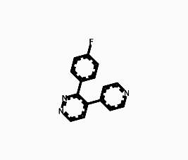 Fc1ccc(-c2nnccc2-c2ccncc2)cc1